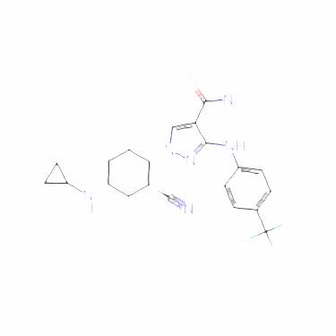 N#C[C@H]1C[C@H](NC2CC2)CC[C@@H]1n1cc(C(N)=O)c(Nc2ccc(C(F)(F)F)cc2)n1